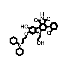 O=C1NC(=O)c2c1c(-c1ccccc1Cl)cc1c2c2cc(O)c(OCCCN(C3CCCCC3)C3CCCCC3)cc2n1CCO